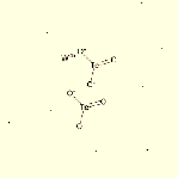 O=[Te]([O-])[O-].O=[Te]([O-])[O-].[W+4]